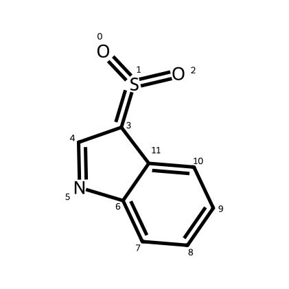 O=S(=O)=C1C=Nc2ccccc21